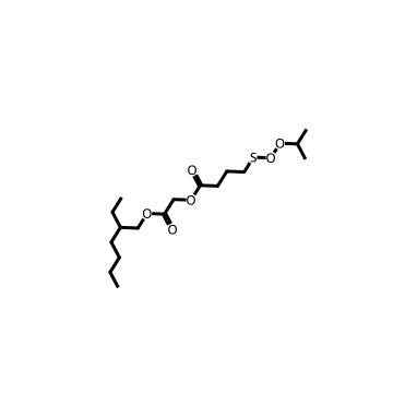 CCCCC(CC)COC(=O)COC(=O)CCCSOOC(C)C